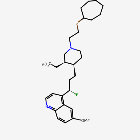 COc1ccc2nccc([C@@H](F)CC[C@@H]3CCN(CCSC4CCCCCC4)C[C@@H]3CC(=O)O)c2c1